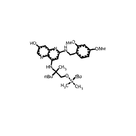 CCCCC(C)(CO[Si](C)(C)C(C)(C)C)Nc1cc(NCc2ccc(OC)cc2OC)nc2cc(O)cnc12